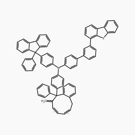 C=C1/C=C\C=C/Cc2ccccc2C1(c1ccccc1)c1ccc(N(c2ccc(-c3cccc(-c4cccc5c4sc4ccccc45)c3)cc2)c2ccc(C3(c4ccccc4)c4ccccc4-c4ccccc43)cc2)cc1